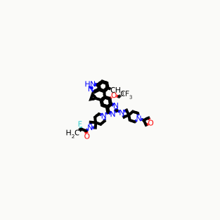 C=C(F)C(=O)N1CC2(CCN(c3nc(N4CC5(CCN(C6COC6)CC5)C4)nc4c(OCC(F)(F)F)c(-c5c(C)ccc6[nH]ncc56)c(C5CC5)cc34)CC2)C1